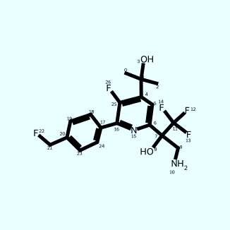 CC(C)(O)c1cc(C(O)(CN)C(F)(F)F)nc(-c2ccc(CF)cc2)c1F